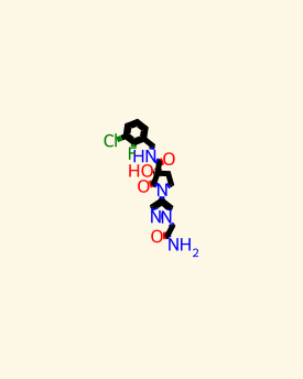 NC(=O)Cn1cc(N2CC[C@](O)(C(=O)NCc3cccc(Cl)c3F)C2=O)cn1